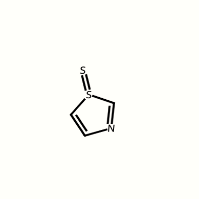 S=S1C=CN=C1